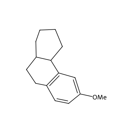 COc1ccc2c(c1)C1CCCCC1CC2